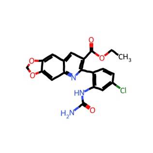 CCOC(=O)c1cc2cc3c(cc2nc1-c1ccc(Cl)cc1NC(N)=O)OCO3